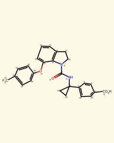 O=C(O)c1ccc(C2(NC(=O)N3CCc4cccc(Oc5ccc(C(F)(F)F)cc5)c43)CC2)cc1